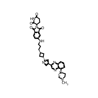 CN1CCN(c2cccc3nc(-c4cnn([C@H]5C[C@H](CCCNc6ccc7c(c6)C(=O)N(C6CCC(=O)NC6=O)C7=O)C5)c4)cnc23)CC1